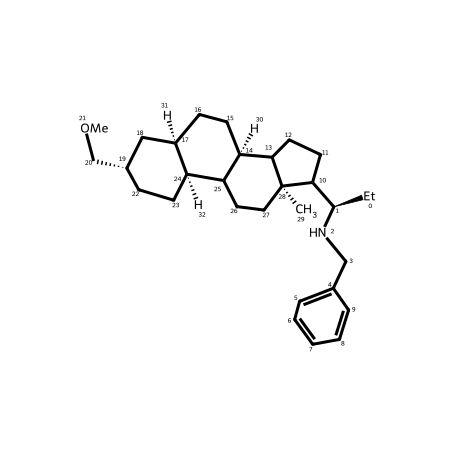 CC[C@@H](NCc1ccccc1)C1CCC2[C@@H]3CC[C@@H]4C[C@@H](COC)CC[C@@H]4C3CC[C@@]21C